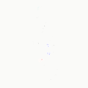 Cc1cc(-c2ccc(F)cc2)ccc1N1CCN(CC(=O)c2ccccc2)CC1